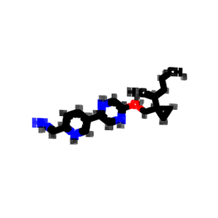 C=C(CCC)C1(COc2cnc(-c3ccc(C=N)nc3)cn2)CC1